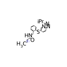 C/C=C/C(=O)NCc1ccccc1Sc1ccc2nnc(C(C)C)n2c1